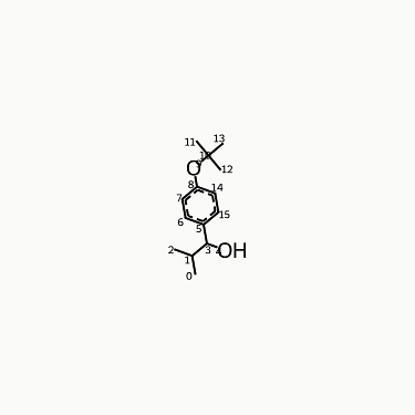 CC(C)C(O)c1ccc(OC(C)(C)C)cc1